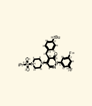 CC(C)S(=O)(=O)N1CCN(c2cnn(-c3cc(F)cc(F)c3)c(=O)c2Cc2ccc(C(C)(C)C)cc2)CC1